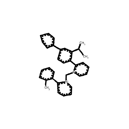 Cc1ccccc1-c1cccc[n+]1C[n+]1ccccc1-c1ccc(-c2ccccc2)cc1C(C)C